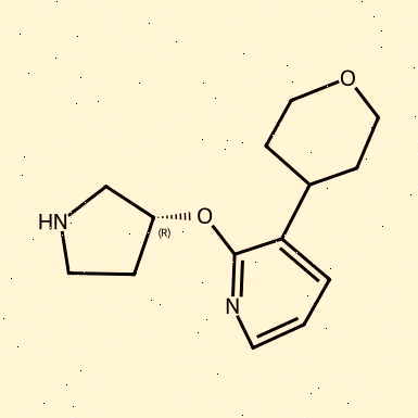 c1cnc(O[C@@H]2CCNC2)c(C2CCOCC2)c1